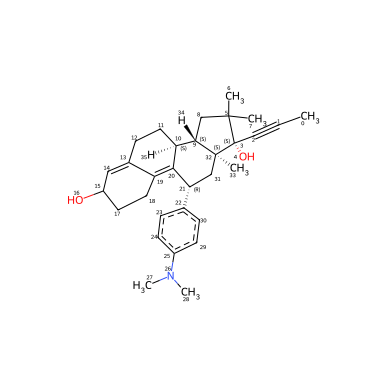 CC#C[C@]1(O)C(C)(C)C[C@H]2[C@@H]3CCC4=CC(O)CCC4=C3[C@@H](c3ccc(N(C)C)cc3)C[C@@]21C